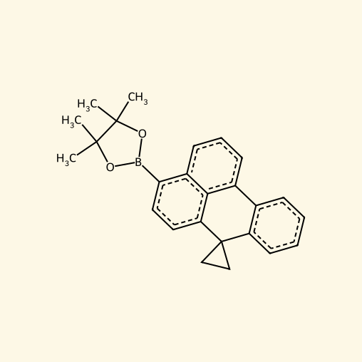 CC1(C)OB(c2ccc3c4c(cccc24)-c2ccccc2C32CC2)OC1(C)C